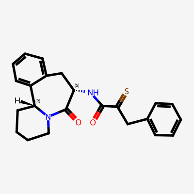 O=C(N[C@H]1Cc2ccccc2[C@H]2CCCCN2C1=O)C(=S)Cc1ccccc1